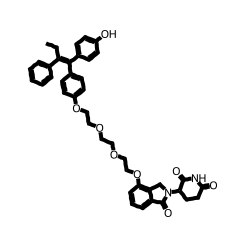 CCC(=C(c1ccc(O)cc1)c1ccc(OCCOCCOCCOc2cccc3c2CN(C2CCC(=O)NC2=O)C3=O)cc1)c1ccccc1